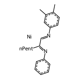 CCCCCC(C=Nc1ccc(C)c(C)c1)=Nc1ccccc1.[Ni]